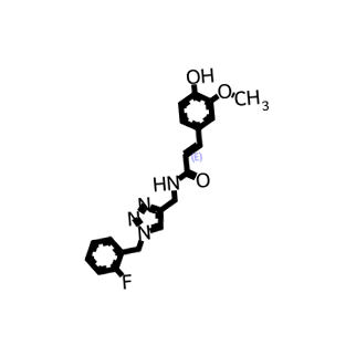 COc1cc(/C=C/C(=O)NCc2cn(Cc3ccccc3F)nn2)ccc1O